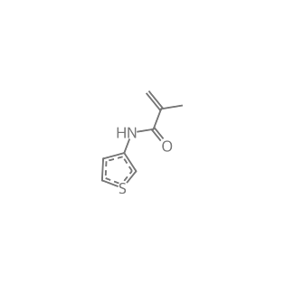 C=C(C)C(=O)Nc1ccsc1